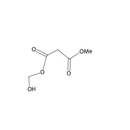 COC(=O)CC(=O)OCO